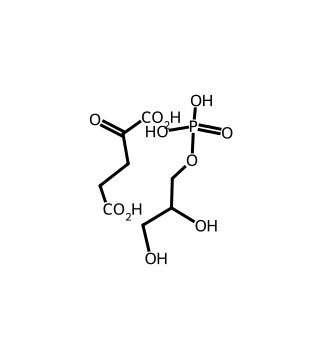 O=C(O)CCC(=O)C(=O)O.O=P(O)(O)OCC(O)CO